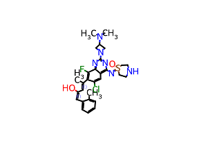 C/C(=C\C(O)=C/c1ccccc1C)c1c(Cl)cc2c(N=S3(=O)CCNCC3)nc(N3CC(N(C)C)C3)nc2c1F